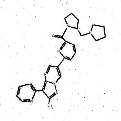 Nc1nn2cc(-c3cccc(C(=O)N4CCC[C@H]4CN4CCCC4)n3)cnc2c1-c1ccccn1